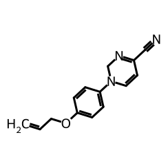 C=CCOc1ccc(N2C=CC(C#N)=NC2)cc1